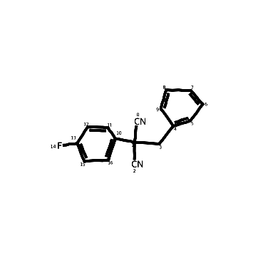 N#CC(C#N)(Cc1ccccc1)c1ccc(F)cc1